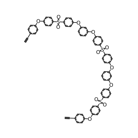 C#Cc1ccc(Oc2ccc(S(=O)(=O)c3ccc(Oc4cccc(Oc5ccc(S(=O)(=O)c6ccc(Oc7cccc(Oc8ccc(S(=O)(=O)c9ccc(Oc%10ccc(C#C)cc%10)cc9)cc8)c7)cc6)cc5)c4)cc3)cc2)cc1